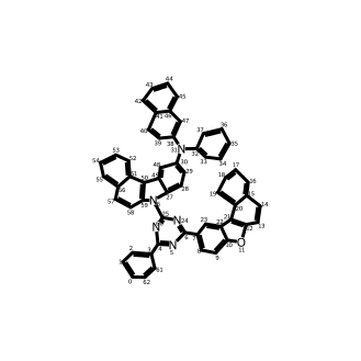 c1ccc(-c2nc(-c3ccc4oc5ccc6ccccc6c5c4c3)nc(-n3c4ccc(N(c5ccccc5)c5ccc6ccccc6c5)cc4c4c5ccccc5ccc43)n2)cc1